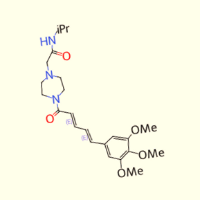 COc1cc(/C=C/C=C/C(=O)N2CCN(CC(=O)NC(C)C)CC2)cc(OC)c1OC